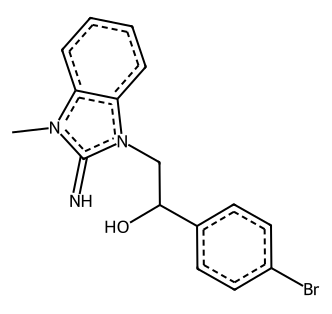 Cn1c(=N)n(CC(O)c2ccc(Br)cc2)c2ccccc21